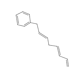 C=CC=CCC=CCc1ccccc1